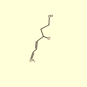 C=CC=CC(Cl)CCO